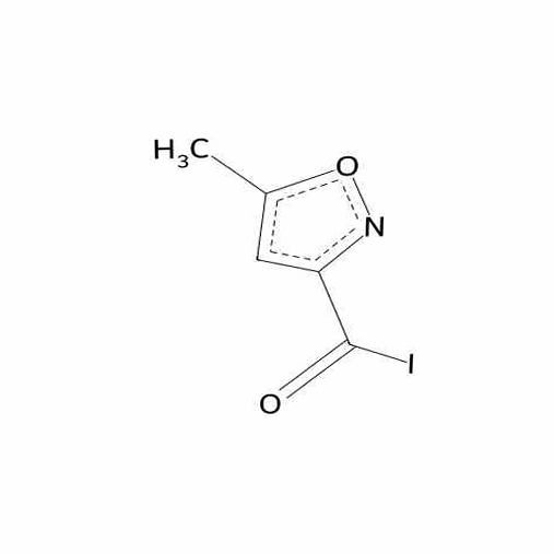 Cc1cc(C(=O)I)no1